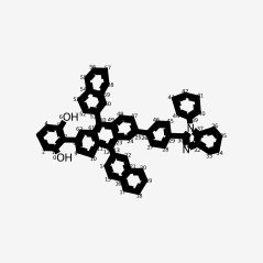 Oc1cccc(O)c1-c1ccc2c(-c3ccc4ccccc4c3)c3cc(-c4ccc(-c5nc6ccccc6n5-c5ccccc5)cc4)ccc3c(-c3ccc4ccccc4c3)c2c1